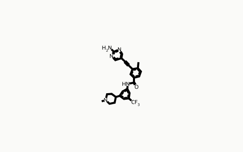 Cc1ccc(C(=O)Nc2cc(C3CCN(C)CC3)cc(C(F)(F)F)c2)cc1C#Cc1cnc(N)nc1